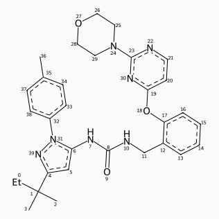 CCC(C)(C)c1cc(NC(=O)NCc2ccccc2Oc2ccnc(N3CCOCC3)n2)n(-c2ccc(C)cc2)n1